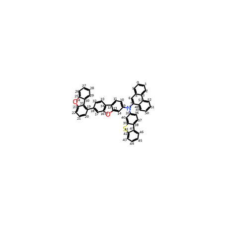 c1ccc2c(c1)cc(N(c1ccc3c(c1)oc1cc(-c4cccc5oc6ccccc6c45)ccc13)c1ccc3c(c1)sc1ccccc13)c1ccccc12